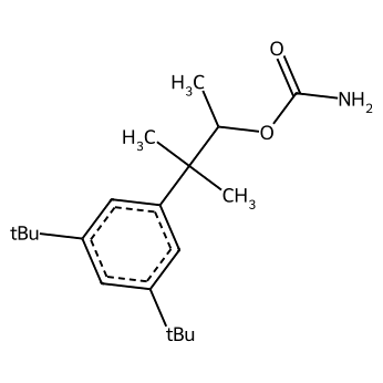 CC(OC(N)=O)C(C)(C)c1cc(C(C)(C)C)cc(C(C)(C)C)c1